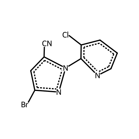 N#Cc1cc(Br)nn1-c1ncccc1Cl